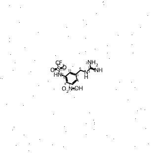 N=C(N)NCc1cccc(NS(=O)(=O)C(F)(F)F)c1.O=[N+]([O-])O